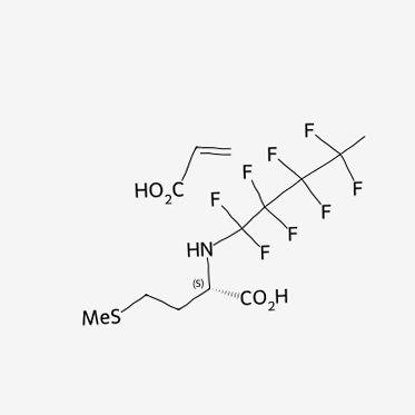 C=CC(=O)O.CSCC[C@H](NC(F)(F)C(F)(F)C(F)(F)C(C)(F)F)C(=O)O